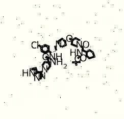 CC(C)(C)OC(=O)N[C@@H](C(=O)N1CCC(OC2CCN(CC[C@H](NC(=O)C3(N)CCN(c4ncnc5[nH]ccc45)CC3)c3ccc(Cl)cc3)CC2)CC1)C1CCCCC1